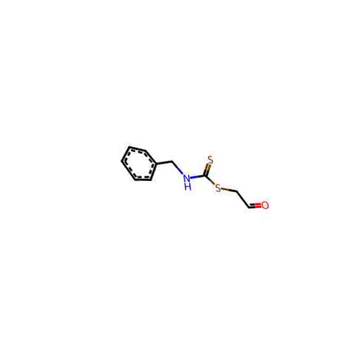 O=CCSC(=S)NCc1ccccc1